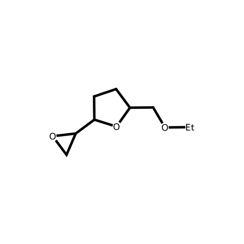 CCOCC1CCC(C2CO2)O1